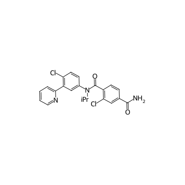 CC(C)N(C(=O)c1ccc(C(N)=O)cc1Cl)c1ccc(Cl)c(-c2ccccn2)c1